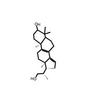 C[C@H](CO)[C@H]1CC=C2C3=C(CC[C@@]21C)[C@@]1(C)CCC(O)C(C)(C)C1CC3